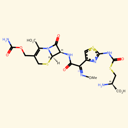 CO/N=C(/C(=O)N[C@@H]1C(=O)N2C(C(=O)O)=C(COC(N)=O)CS[C@H]12)c1csc(NC(=O)SC[C@H](N)C(=O)O)n1